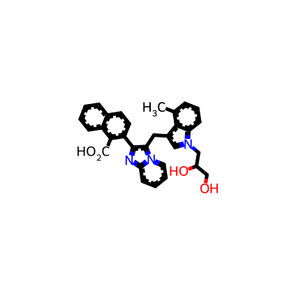 Cc1cccc2c1c(Cc1c(-c3ccc4ccccc4c3C(=O)O)nc3ccccn13)cn2CC(O)CO